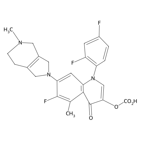 Cc1c(F)c(N2CC3=C(CN(C)CC3)C2)cc2c1c(=O)c(OC(=O)O)cn2-c1ccc(F)cc1F